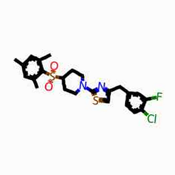 Cc1cc(C)c(S(=O)(=O)C2CCN(c3nc(Cc4ccc(Cl)c(F)c4)cs3)CC2)c(C)c1